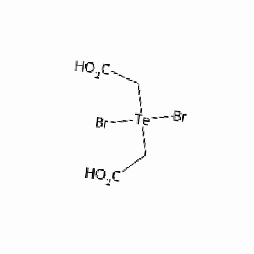 O=C(O)C[Te](Br)(Br)CC(=O)O